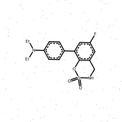 CCN(CC)c1ccc(-c2cc(F)cc3c2OS(=O)(=O)NC3)cc1